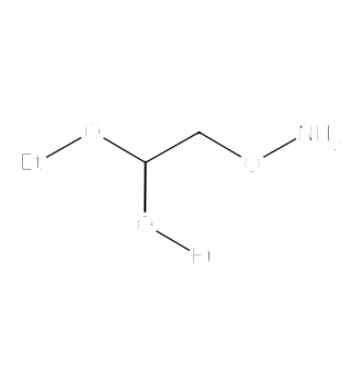 CCOC(CON)OCC